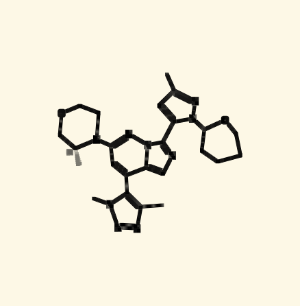 Cc1cc(-c2ncc3c(-c4c(C)nnn4C)cc(N4CCOC[C@H]4C)nn23)n(C2CCCCO2)n1